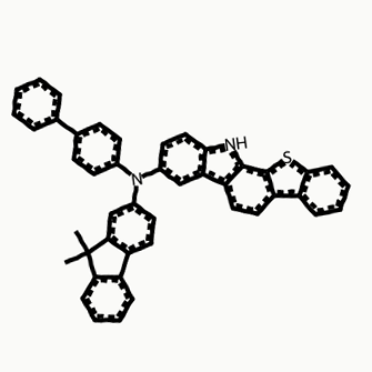 CC1(C)c2ccccc2-c2ccc(N(c3ccc(-c4ccccc4)cc3)c3ccc4[nH]c5c(ccc6c7ccccc7sc65)c4c3)cc21